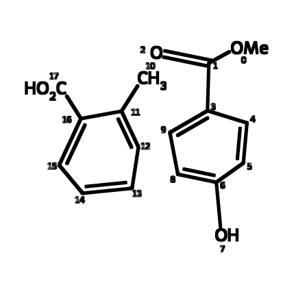 COC(=O)c1ccc(O)cc1.Cc1ccccc1C(=O)O